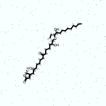 CCCCCCCCC[C@H](O)[C@@H]1CC[C@@H]([C@@H](O)CCCCC(=O)CCCCC[C@@H](O)CC2=CC(=O)O[C@H]2C)O1